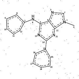 Cn1cnc2c(Nc3ccccc3)nc(-c3ccccc3)nc21